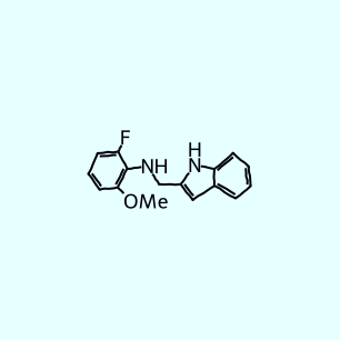 COc1cccc(F)c1NCc1cc2ccccc2[nH]1